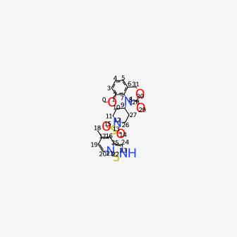 COc1cccc2c1N(C1CCN(S(=O)(=O)C3=C(C)C=CN4SNC=C34)CC1)C(=O)OC2